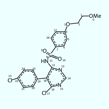 COCCOc1ccc(S(=O)(=O)Nc2ncnc(Cl)c2-c2ccc(Cl)cc2)cc1